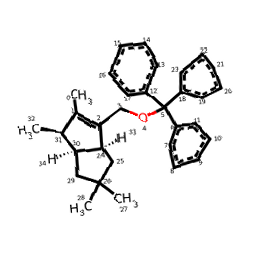 CC1=C(COC(c2ccccc2)(c2ccccc2)c2ccccc2)[C@H]2CC(C)(C)C[C@H]2[C@H]1C